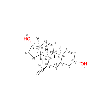 C#C[C@@H]1C=C2C[C@@H](O)C=C[C@]2(C)[C@H]2C=C[C@]3(C)[C@@H](O)CC[C@H]3[C@H]12